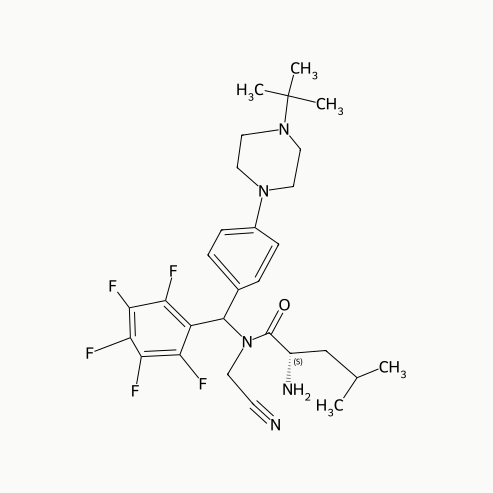 CC(C)C[C@H](N)C(=O)N(CC#N)C(c1ccc(N2CCN(C(C)(C)C)CC2)cc1)c1c(F)c(F)c(F)c(F)c1F